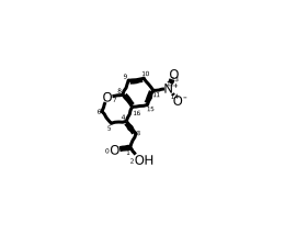 O=C(O)/C=C1\CCOc2ccc([N+](=O)[O-])cc21